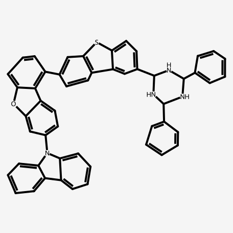 c1ccc(C2NC(c3ccccc3)NC(c3ccc4sc5cc(-c6cccc7oc8cc(-n9c%10ccccc%10c%10ccccc%109)ccc8c67)ccc5c4c3)N2)cc1